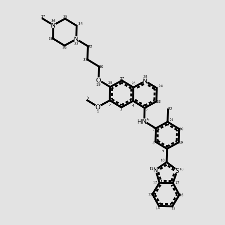 COc1cc2c(Nc3cc(-c4nc5ccccc5s4)ccc3C)ccnc2cc1OCCCN1CCN(C)CC1